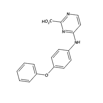 O=C(O)c1nccc(Nc2ccc(Oc3ccccc3)cc2)n1